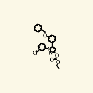 CCOC(=O)Oc1cc(-c2cccc(OCc3ccccc3)c2)n(-c2cccc(Cl)c2)n1